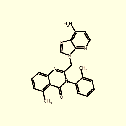 Cc1ccccc1-n1c(Cn2cnc3c(N)ccnc32)nc2cccc(C)c2c1=O